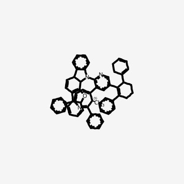 C[C@H]1C(c2cc(C3=C(c4ccccc4)CCCC3C3=CC=CCC3)cnc2N2c3ccccc3C3C=CC4=C(OC5C=CC=CC45)C32)=CC=C(c2ccccc2)N=C1c1ccccc1